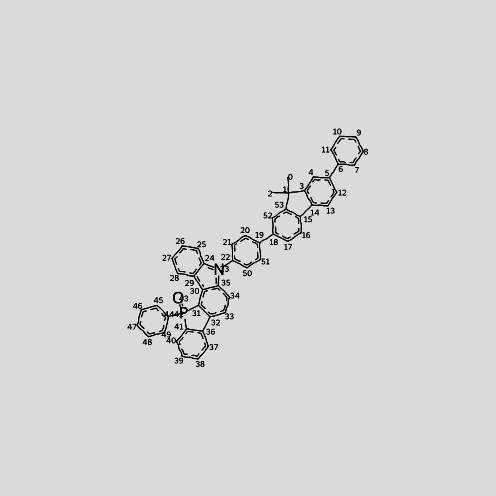 CC1(C)c2cc(-c3ccccc3)ccc2-c2ccc(-c3ccc(-n4c5ccccc5c5c6c(ccc54)-c4ccccc4P6(=O)c4ccccc4)cc3)cc21